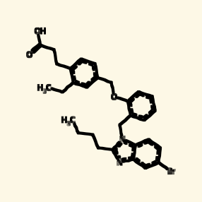 CCCCc1nc2cc(Br)ccc2n1Cc1ccccc1OCc1ccc(CCC(=O)O)c(CC)c1